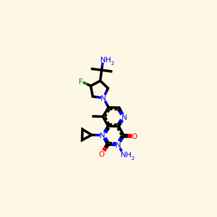 Cc1c(N2CC(F)C(C(C)(C)N)C2)cnc2c(=O)n(N)c(=O)n(C3CC3)c12